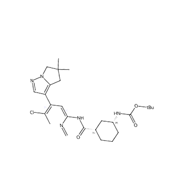 C=N/C(=C\C(=C(/C)Cl)c1cnn2c1CC(C)(C)C2)NC(=O)[C@H]1CCC[C@@H](NC(=O)OC(C)(C)C)C1